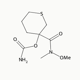 CON(C)C(=O)C1(OC(N)=O)CCCSC1